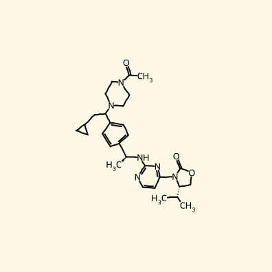 CC(=O)N1CCN(C(CC2CC2)c2ccc([C@H](C)Nc3nccc(N4C(=O)OC[C@@H]4C(C)C)n3)cc2)CC1